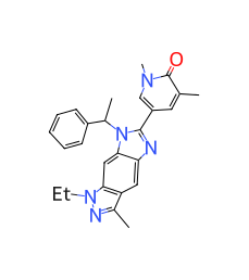 CCn1nc(C)c2cc3nc(-c4cc(C)c(=O)n(C)c4)n(C(C)c4ccccc4)c3cc21